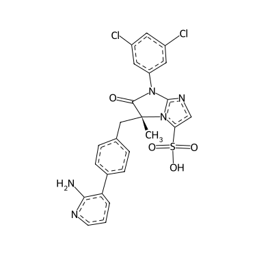 C[C@@]1(Cc2ccc(-c3cccnc3N)cc2)C(=O)N(c2cc(Cl)cc(Cl)c2)c2ncc(S(=O)(=O)O)n21